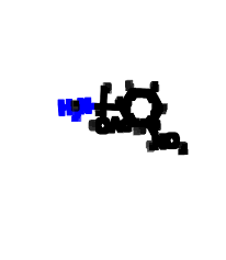 CC(=O)OC(C)(N)c1cccc([N+](=O)[O-])c1